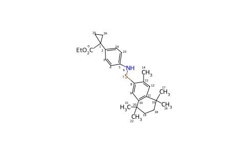 CCOC(=O)C1(c2ccc(NSc3cc4c(cc3C)C(C)(C)CCC4(C)C)cc2)CC1